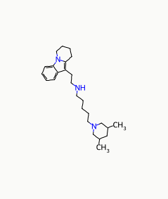 CC1CC(C)CN(CCCCCNCCc2c3n(c4ccccc24)CCCC3)C1